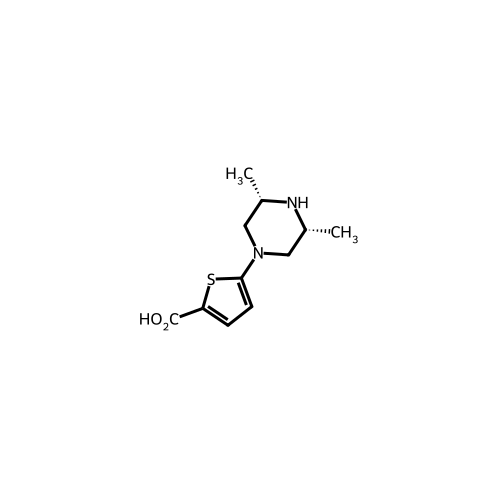 C[C@@H]1CN(c2ccc(C(=O)O)s2)C[C@H](C)N1